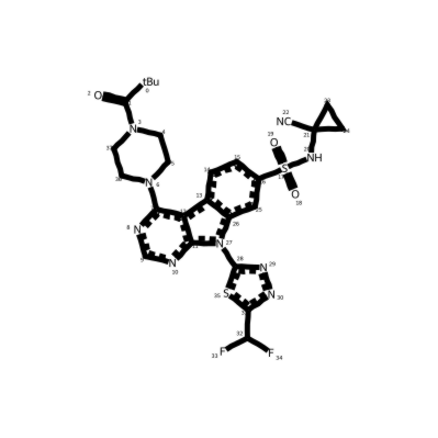 CC(C)(C)C(=O)N1CCN(c2ncnc3c2c2ccc(S(=O)(=O)NC4(C#N)CC4)cc2n3-c2nnc(C(F)F)s2)CC1